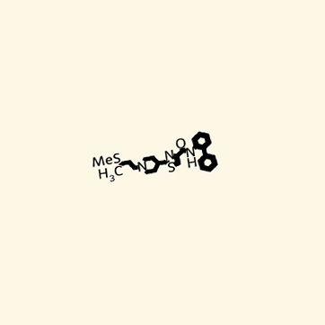 CSC(C)CCN1CCC(c2nc(C(=O)Nc3ccccc3-c3ccccc3)cs2)CC1